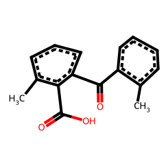 Cc1ccccc1C(=O)c1cccc(C)c1C(=O)O